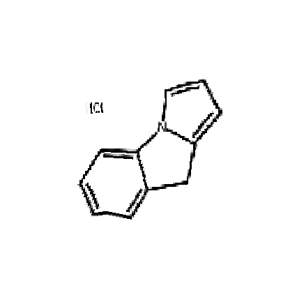 Cl.c1ccc2c(c1)Cc1cccn1-2